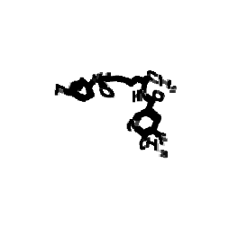 C=C(CCCC(=O)Nc1ccc(F)cc1)NC(=O)c1cnc(C)c(F)c1